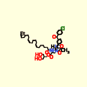 CC/C=C\C/C=C\C/C=C\C/C=C\C/C=C\C/C=C\CCC(=O)NC(CNC(=O)C(C)(C)Oc1ccc(C(=O)c2ccc(Cl)cc2)cc1)C(=O)OCC(CO)CO